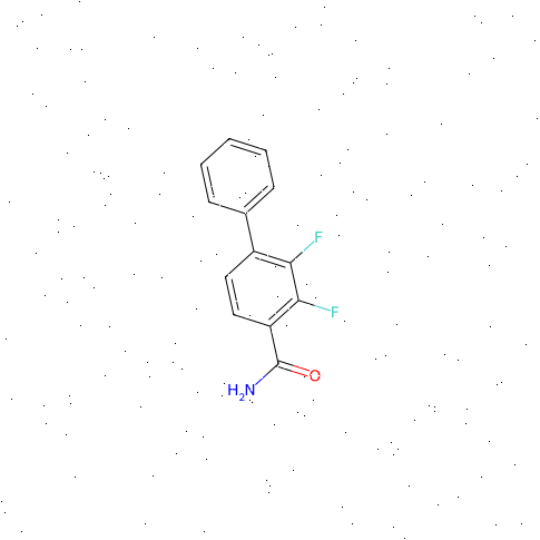 NC(=O)c1ccc(-c2ccccc2)c(F)c1F